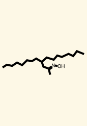 CCCCCCCCC(CCCCCCCC)CC(C)=NO